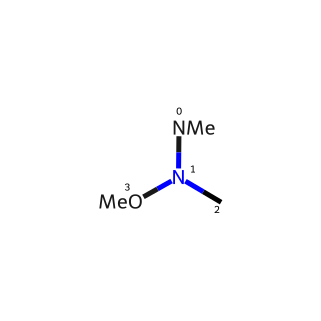 CNN(C)OC